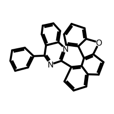 c1ccc(-c2nc(-c3cccc4ccc5oc6ccccc6c5c34)nc3ccccc23)cc1